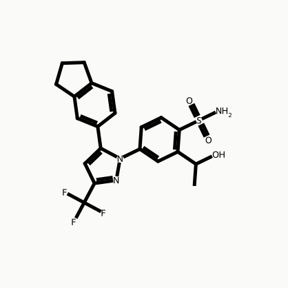 CC(O)c1cc(-n2nc(C(F)(F)F)cc2-c2ccc3c(c2)CCC3)ccc1S(N)(=O)=O